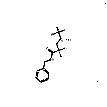 C[C@](O)(C[C@@H](O)C(F)(F)F)C(=O)NCc1ccccc1